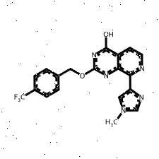 Cn1cnc(-c2nccc3c(O)nc(OCc4ccc(C(F)(F)F)cc4)nc23)c1